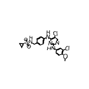 COc1ccc(Nc2ncc(Cl)c(Nc3ccc(CNS(=O)(=O)C4CC4)cc3)n2)cc1Cl